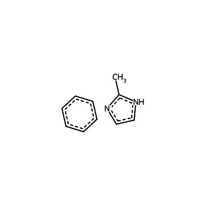 Cc1ncc[nH]1.c1ccccc1